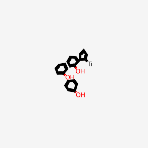 Oc1ccccc1.Oc1ccccc1.Oc1ccccc1.[Ti][C]1=CC=CC1